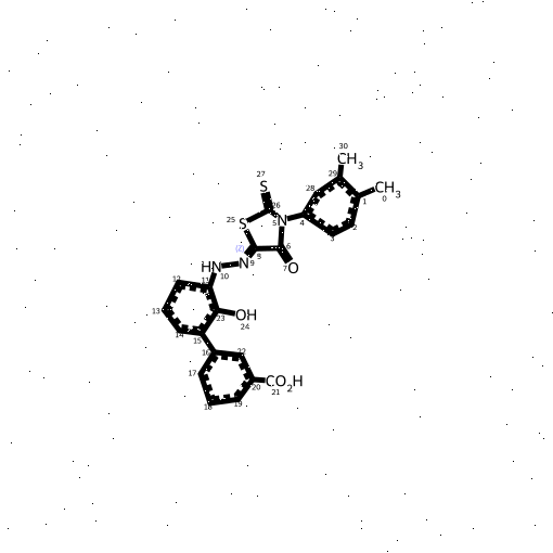 Cc1ccc(N2C(=O)/C(=N/Nc3cccc(-c4cccc(C(=O)O)c4)c3O)SC2=S)cc1C